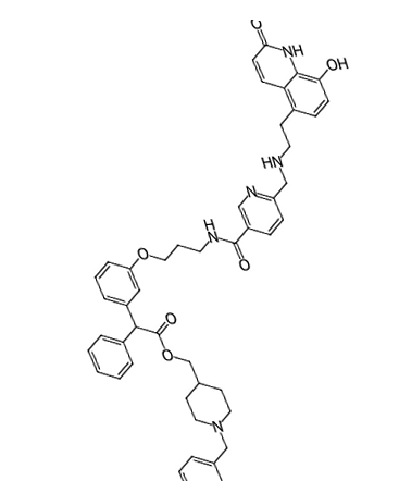 O=C(NCCCOc1cccc(C(C(=O)OCC2CCN(Cc3ccccc3)CC2)c2ccccc2)c1)c1ccc(CNCCc2ccc(O)c3[nH]c(=O)ccc23)nc1